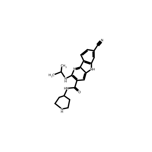 CC(C)Nc1nc2c(cc1C(=O)NC1CCNCC1)[nH]c1cc(C#N)ccc12